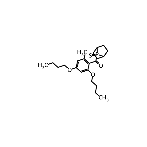 CCCCOc1cc(C)c(C(=O)P2(=S)C3CCC2CC3)c(OCCCC)c1